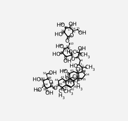 C[C@H](C(O)C[C@@H](O[C@@H]1O[C@H](CO[C@@H]2O[C@H](CO)[C@@H](O)[C@H](O)[C@H]2O)[C@@H](O)[C@H](O)[C@H]1O)C(C)(C)O)[C@H]1CC[C@@]2(C)[C@@H]3CC=C4[C@@H](CC[C@H](O[C@@H]5O[C@H](CO)[C@@H](O)[C@H](O)[C@H]5O)C4(C)C)[C@]3(C)[C@@H](O)C[C@]12C